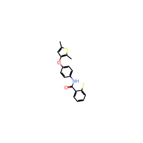 Cc1cc(Oc2ccc(NC(=O)c3ccccc3F)cc2)c(C)s1